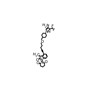 Cn1c(=O)n(N2C(=O)CCCC2=O)c2cccc(C#CCCCOCC3CCC(n4cc(N)c(C(F)F)n4)CC3)c21